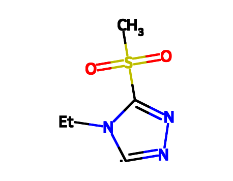 CCn1[c]nnc1S(C)(=O)=O